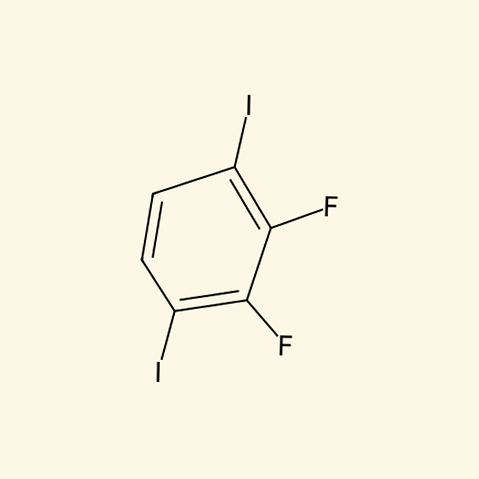 Fc1c(I)ccc(I)c1F